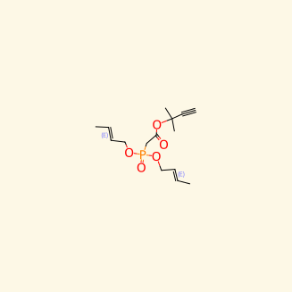 C#CC(C)(C)OC(=O)CP(=O)(OC/C=C/C)OC/C=C/C